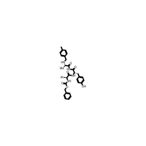 CC[C@H](C)[C@H](NCc1ccc(C)cc1)C(=O)NC(=O)[C@H](Cc1ccc(O)cc1)NC(=O)[C@@H](NC(=O)OCc1ccccc1)C(C)C